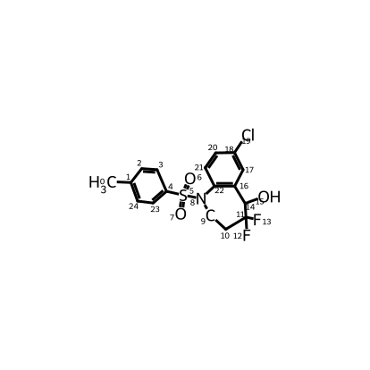 Cc1ccc(S(=O)(=O)N2CCC(F)(F)C(O)c3cc(Cl)ccc32)cc1